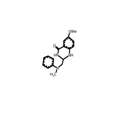 COc1ccc2c(c1)C(=O)NC(CN(C)c1ccccc1)N2